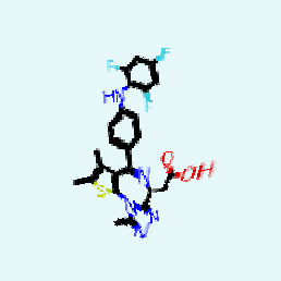 Cc1sc2c(c1C)C(c1ccc(Nc3c(F)cc(F)cc3F)cc1)=N[C@@H](CC(=O)O)c1nnc(C)n1-2